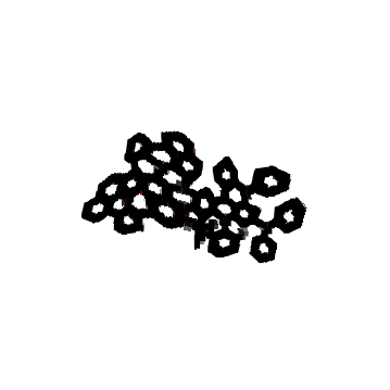 Fc1cccc(F)c1N1c2cc(N(c3ccccc3)c3ccccc3)cc3c2B(c2ccccc2N3c2ccccc2)c2cc3c(c(C(F)(F)F)c21)Sc1cc(N(c2ccccc2)c2c(-c4ccccc4)cccc2-c2ccccc2)cc2c1B3c1ccccc1N2c1c(-c2ccccc2)cccc1-c1ccccc1